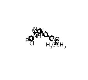 CN(C)C(=O)N1CCC(C2CCN(c3ncc4ncnc(Nc5ccc(F)c(Cl)c5)c4n3)CC2)CC1